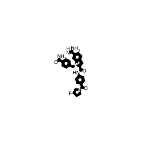 N=C(N)c1ccc2cc(C(=O)Nc3ccc(C(=O)N4CC[C@H](F)C4)cc3)n(Cc3ccc(C(N)=O)cc3)c2c1